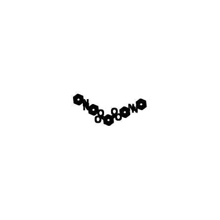 O=C(Oc1ccc(/N=N/c2ccccc2)cc1)c1cccc(C(=O)Oc2ccc(/N=N/c3ccccc3)cc2)c1